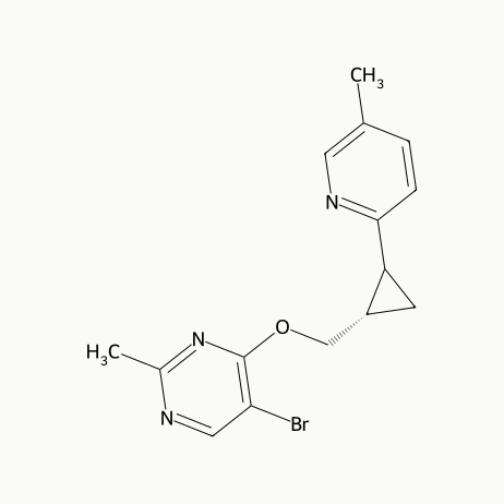 Cc1ccc(C2C[C@@H]2COc2nc(C)ncc2Br)nc1